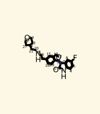 O=C1Nc2ccc(F)cc2/C1=C1\OCc2cc(CCNCCC3CCOCC3)ccc21